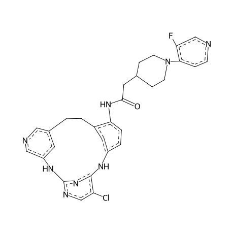 O=C(CC1CCN(c2ccncc2F)CC1)Nc1ccc2cc1CCc1cncc(c1)Nc1ncc(Cl)c(n1)N2